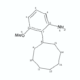 COc1cccc(N)c1C1CCCCCCC1